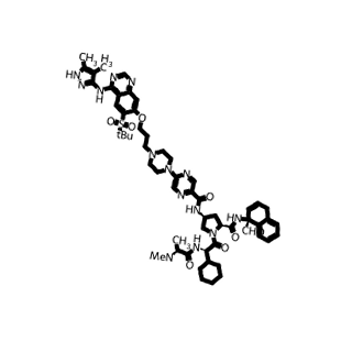 CN[C@@H](C)C(=O)N[C@H](C(=O)N1C[C@@H](NC(=O)c2cnc(N3CCN(CCCOc4cc5ncnc(Nc6n[nH]c(C)c6C)c5cc4S(=O)(=O)C(C)(C)C)CC3)cn2)C[C@H]1C(=O)N[C@]1(C=O)C=CCc2ccccc21)C1CCCCC1